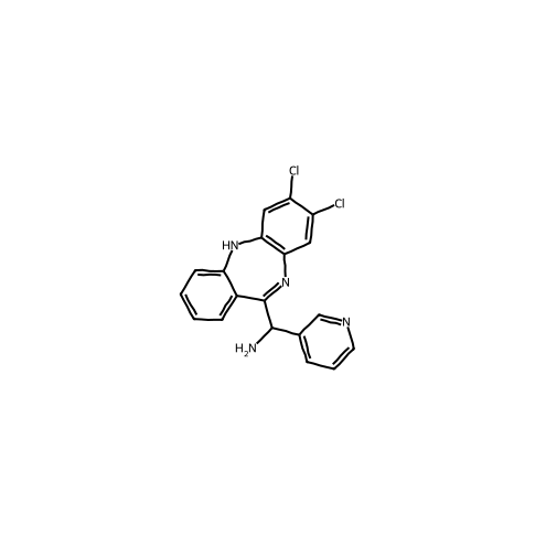 NC(C1=Nc2cc(Cl)c(Cl)cc2Nc2ccccc21)c1cccnc1